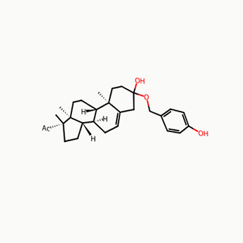 CC(=O)[C@@]1(C)CC[C@H]2[C@@H]3CC=C4CC(O)(OCc5ccc(O)cc5)CC[C@]4(C)[C@H]3CC[C@@]21C